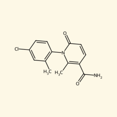 Cc1cc(Cl)ccc1-n1c(C)c(C(N)=O)ccc1=O